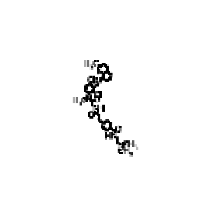 Cc1ccc2cccc(OCc3c(Cl)ccc(N(C)C(=O)CNC(=O)C=Cc4ccc(C(=O)NCCN(C)C)cc4)c3Cl)c2n1